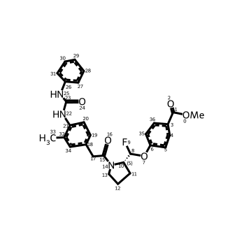 COC(=O)c1ccc(OC(F)[C@@H]2CCCN2C(=O)Cc2ccc(NC(=O)Nc3ccccc3)c(C)c2)cc1